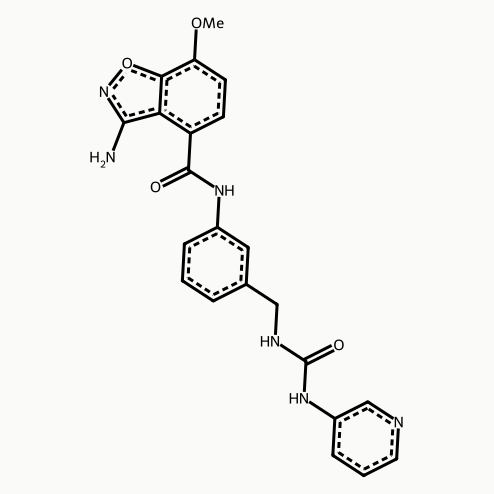 COc1ccc(C(=O)Nc2cccc(CNC(=O)Nc3cccnc3)c2)c2c(N)noc12